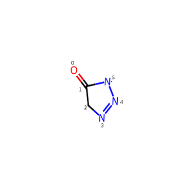 O=C1CN=N[N]1